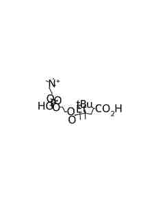 CCC(C)(C(=O)OCCOP(=O)(O)OCC[N+](C)(C)C)C(C)(C)CC(C(=O)O)C(C)(C)C